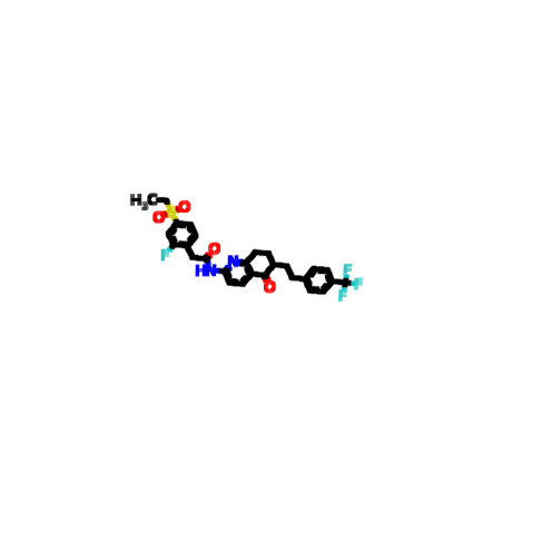 CCS(=O)(=O)c1ccc(CC(=O)Nc2ccc3c(n2)CCC(CCc2ccc(C(F)(F)F)cc2)C3=O)c(F)c1